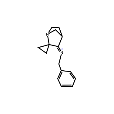 c1ccc(C/N=C2/C3CCN(C3)C23CC3)cc1